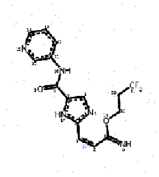 N=C(/C=C\c1ncc(C(=O)Nc2cccnc2)[nH]1)OCCC(F)(F)F